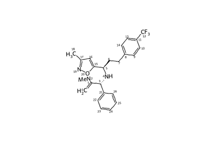 C=C(NC)[C@H](N[C@H](CCc1ccc(C(F)(F)F)cc1)c1cc(C)no1)c1ccccc1